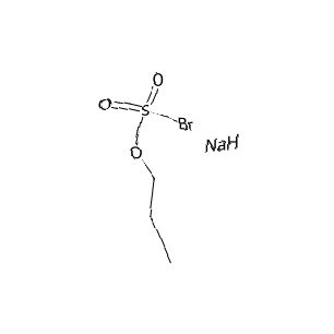 CCCOS(=O)(=O)Br.[NaH]